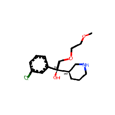 COCCOC[C@@](O)(c1cccc(Cl)c1)[C@@H]1CCCNC1